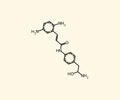 Nc1ccc(N)c(C=CC(=O)Nc2ccc(CC(N)O)cc2)c1